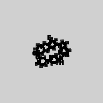 CN1CCN(c2ccc(Nc3ncc4ccn(-c5cc(F)c(CN6CCS(=O)(=O)CC6)c(F)c5)c4n3)cn2)CC1